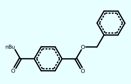 CCCCC(=O)c1ccc(C(=O)OCc2ccccc2)cc1